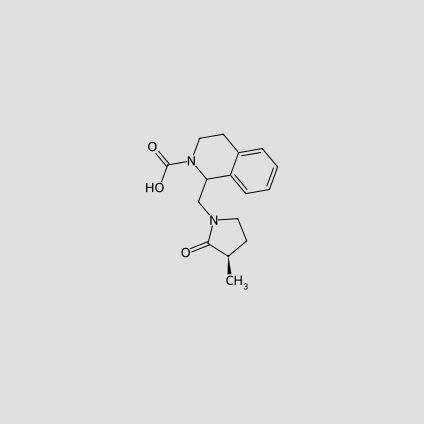 C[C@@H]1CCN(CC2c3ccccc3CCN2C(=O)O)C1=O